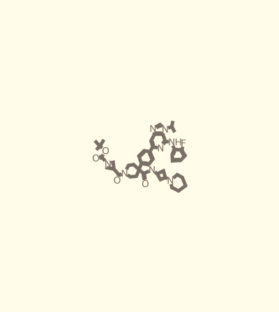 CC(C)n1cnc2cc(-c3ccc4c(c3)N(C3CC(N5CCCCC5)C3)C(=O)C43CCN(C(=O)C4CN(C(=O)OC(C)(C)C)C4)CC3)nc(Nc3ccccc3F)c21